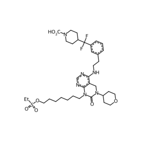 CCS(=O)(=O)OCCCCCCCN1C(=O)N(C2CCOCC2)Cc2c(NCCc3cccc(C(F)(F)C4CCN(C(=O)O)CC4)c3)ncnc21